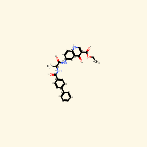 CCOC(=O)c1c[nH]c2ccc(NC(=O)[C@H](C)NC(=O)c3ccc(-c4ccccc4)cc3)cc2c1=O